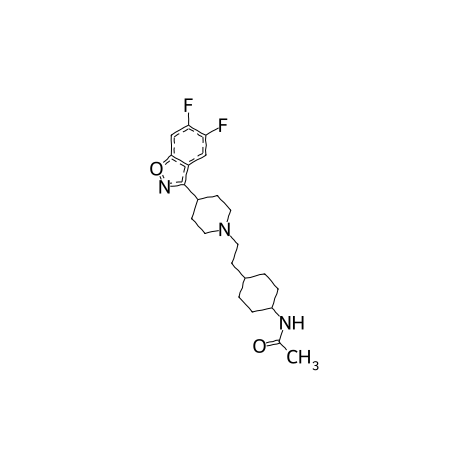 CC(=O)NC1CCC(CCN2CCC(c3noc4cc(F)c(F)cc34)CC2)CC1